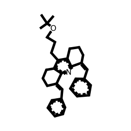 CC(C)(C)OCCCc1c2c(nc3c1CCC/C3=C\c1ccccc1)/C(=C\c1ccccc1)CCC2